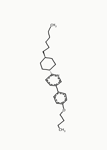 CCCCCC[C@H]1CC[C@H](c2ccc(-c3ccc(OCCCC)cc3)cn2)CC1